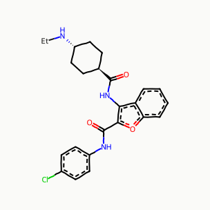 CCN[C@H]1CC[C@H](C(=O)Nc2c(C(=O)Nc3ccc(Cl)cc3)oc3ccccc23)CC1